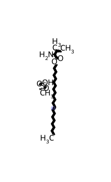 CCCCCCCC/C=C/CCCCCCCCCCCCOC(=O)[C@@H](N)[C@@H](C)CC.CCS(=O)(=O)O